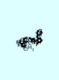 Cc1nn(-c2c(F)cccc2CN2CCOCC2)cc1CN1CCC2(CC1)OCC(F)(F)c1cc(Cl)sc12